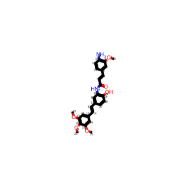 COc1cc(/C=C/C(=O)Nc2cc(/C=C/c3cc(OC)c(OC)c(OC)c3)ccc2O)ccc1N